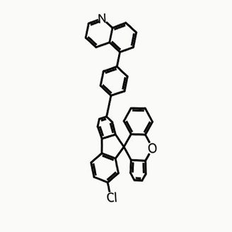 Clc1ccc2c(c1)C1(c3ccccc3Oc3ccccc31)c1cc(-c3ccc(-c4cccc5ncccc45)cc3)ccc1-2